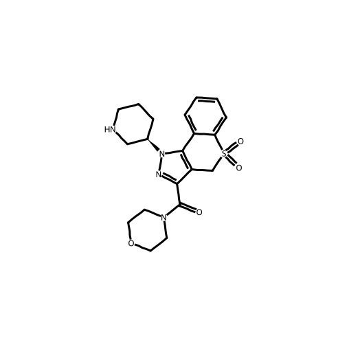 O=C(c1nn([C@@H]2CCCNC2)c2c1CS(=O)(=O)c1ccccc1-2)N1CCOCC1